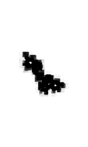 Cc1ccc(C2CC=NN2C(=O)C23CC(Cn4ncc5cc(C)ccc54)(C2)C3)c(F)c1